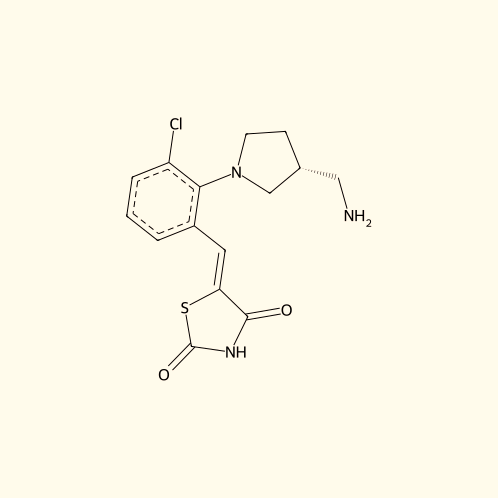 NC[C@H]1CCN(c2c(Cl)cccc2/C=C2\SC(=O)NC2=O)C1